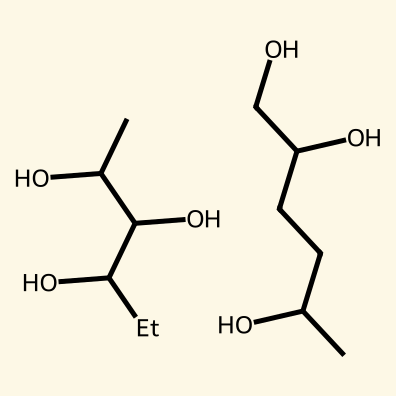 CC(O)CCC(O)CO.CCC(O)C(O)C(C)O